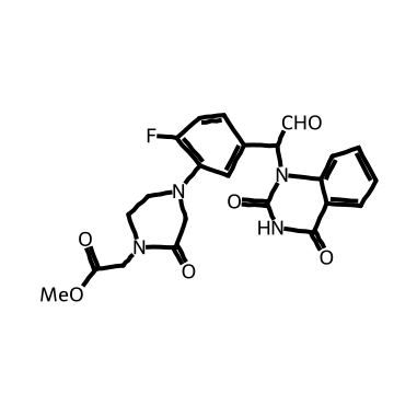 COC(=O)CN1CCN(c2cc(C(C=O)n3c(=O)[nH]c(=O)c4ccccc43)ccc2F)CC1=O